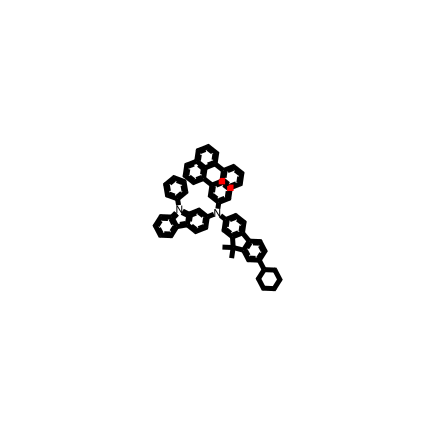 CC1(C)c2cc(C3CCCCC3)ccc2-c2ccc(N(c3cccc(-c4cccc5cccc(-c6ccccc6)c45)c3)c3ccc4c5ccccc5n(-c5ccccc5)c4c3)cc21